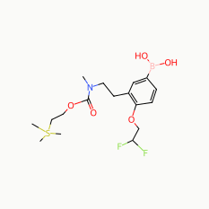 CN(CCc1cc(B(O)O)ccc1OCC(F)F)C(=O)OCCS(C)(C)C